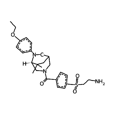 CCOc1ccc(N2CC3CN(C(=O)c4ccc(S(=O)(=O)CCN)cc4)C[C@@H]2C(C)(C)C3)cc1